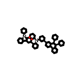 c1ccc(-c2c(-c3ccccc3)c3cc(-c4cccc(N(c5ccccc5)c5ccccc5-c5ccc6c(c5)c5ccccc5n6-c5ccccc5)c4)ccc3c3ccccc23)cc1